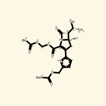 CNC(=O)OCc1ccc(C2=C(C(=O)OCOC(=O)C(C)(C)C)N3C(=O)[C@H]([C@@H](C)O)[C@H]3C2)s1